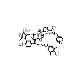 CCC(C)n1nc(C)c(-c2c(Cl)ccc3c(CCCOc4cc(C)c(Cl)c(C)c4)c(C(=O)NS(=O)(=O)c4ccc(C(=O)NCc5ccncc5)o4)[nH]c23)c1C